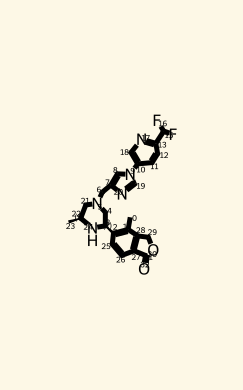 Cc1c([C@@H]2CN(Cc3cn(-c4ccc(C(F)F)nc4)cn3)C[C@H](C)N2)ccc2c1COC2=O